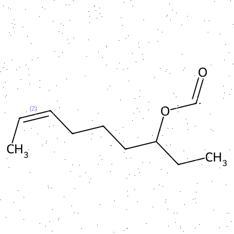 C/C=C\CCCC(CC)O[C]=O